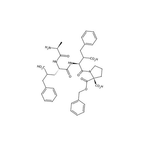 C[C@H](N)C(=O)N[C@@H](CC(Cc1ccccc1)C(=O)O)C(=O)N[C@H](C(=O)N1CCC[C@]1(C(=O)O)C(=O)OCc1ccccc1)C(Cc1ccccc1)C(=O)O